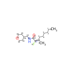 CCCCCC/C(C)=C(/F)C(=O)NCC1CCOCC1